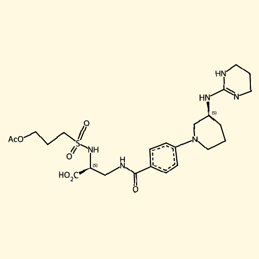 CC(=O)OCCCS(=O)(=O)N[C@@H](CNC(=O)c1ccc(N2CCC[C@H](NC3=NCCCN3)C2)cc1)C(=O)O